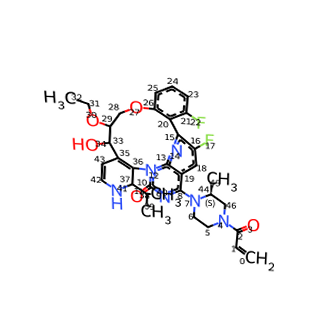 C=CC(=O)N1CCN(c2nc(=O)n3c4nc(c(F)cc24)-c2c(F)cccc2OCC(OCC)C(O)C2=C3C(C(C)C)NC=C2)[C@@H](C)C1